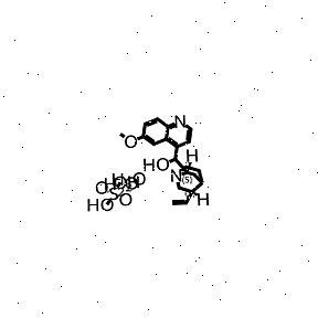 C=C[C@@H]1CN2CCC1C[C@H]2C(O)c1ccnc2ccc(OC)cc12.O.O.O=S(=O)(O)O